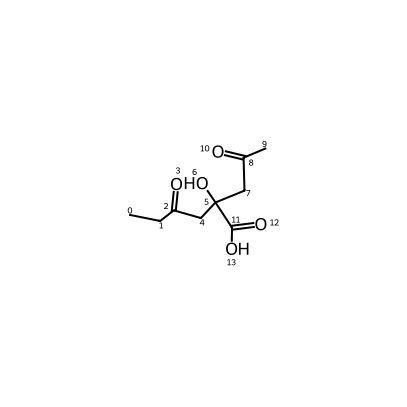 CCC(=O)CC(O)(CC(C)=O)C(=O)O